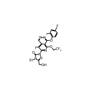 CCn1c(CO)nn(-c2nc(OCC(F)(F)F)c3c(Oc4ccc(F)cc4C)nncc3c2F)c1=O